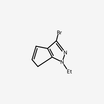 CCn1nc(Br)c2c1CC=C2